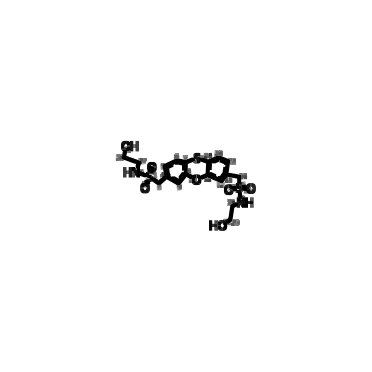 O=S(=O)(Cc1ccc2c(c1)Oc1cc(CS(=O)(=O)NCCO)ccc1S2)NCCO